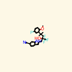 COc1ccc(F)cc1C(C)(C)CC(O)(Cc1cc2ccc(C#N)cc2[nH]1)C(F)(F)F